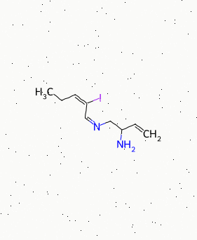 C=CC(N)C/N=C\C(I)=C/CC